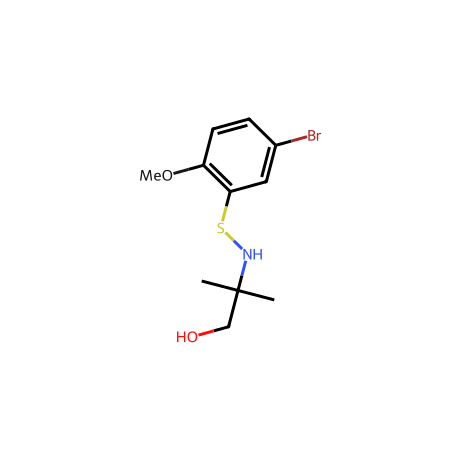 COc1ccc(Br)cc1SNC(C)(C)CO